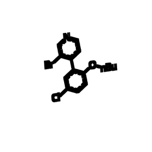 CCCCOc1ccc(Cl)cc1-c1ccncc1Br